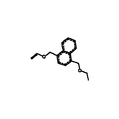 C=COCc1ccc(COCC)c2ccccc12